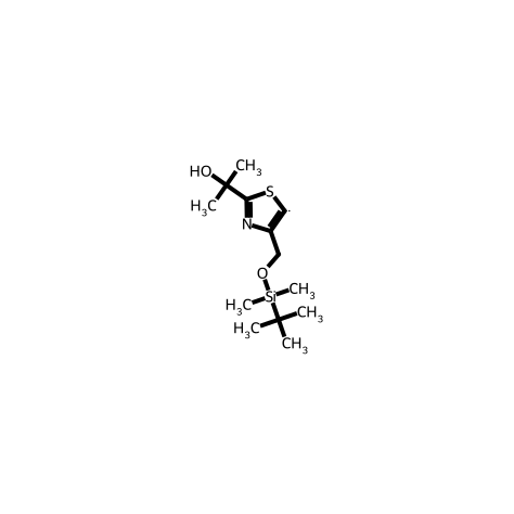 CC(C)(O)c1nc(CO[Si](C)(C)C(C)(C)C)[c]s1